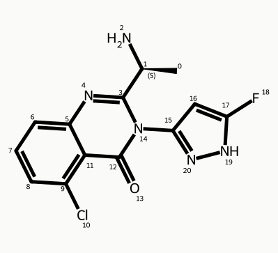 C[C@H](N)c1nc2cccc(Cl)c2c(=O)n1-c1cc(F)[nH]n1